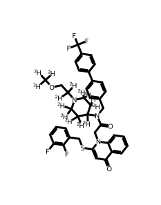 [2H]C([2H])([2H])OCC([2H])([2H])N1C([2H])([2H])C([2H])([2H])C([2H])(N(Cc2ccc(-c3ccc(C(F)(F)F)cc3)cc2)C(=O)Cn2c(SCc3cccc(F)c3F)cc(=O)c3ccccc32)C([2H])([2H])C1([2H])[2H]